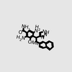 COc1c(N)c(C(N)=O)cc(N)c1C(Cc1ccc2ccccc2c1)c1c[nH]nn1